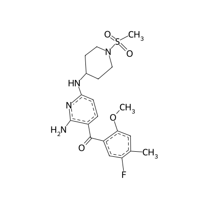 COc1cc(C)c(F)cc1C(=O)c1ccc(NC2CCN(S(C)(=O)=O)CC2)nc1N